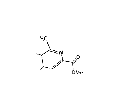 COC(=O)C1=CC(C)C(C)C(O)=N1